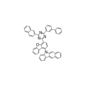 c1ccc(-c2cccc(-c3nc(-c4ccc5ccccc5c4)nc(-c4ccc(-n5c6ccccc6c6cc7ccccc7cc65)c5c4oc4ccccc45)n3)c2)cc1